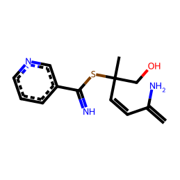 C=C(N)/C=C\C(C)(CO)SC(=N)c1cccnc1